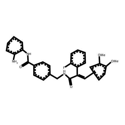 COc1ccc(C=C(C(=O)NCc2ccc(C(=O)Nc3ccccc3N)cc2)c2ccccc2F)cc1OC